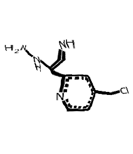 N=C(NN)c1cc(Cl)ccn1